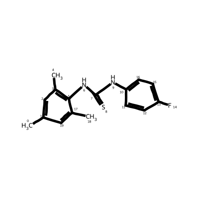 Cc1cc(C)c(NC(=S)Nc2ccc(F)cc2)c(C)c1